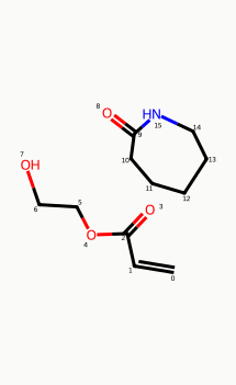 C=CC(=O)OCCO.O=C1CCCCCN1